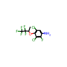 CC(Oc1c(Cl)cc(N)c(F)c1Cl)C(F)(F)C(F)(F)F